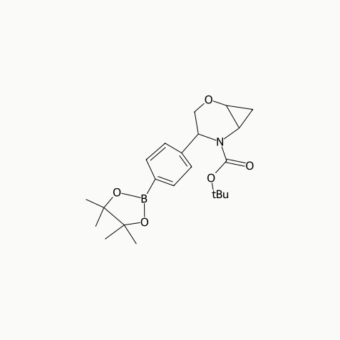 CC(C)(C)OC(=O)N1C(c2ccc(B3OC(C)(C)C(C)(C)O3)cc2)COC2CC21